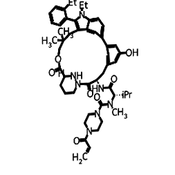 C=CC(=O)N1CCN(C(=O)N(C)[C@H](C(=O)N[C@H]2Cc3cc(O)cc(c3)-c3ccc4c(c3)c(c(-c3ccccc3CC)n4CC)CC(C)(C)COC(=O)[C@@H]3CCCN(N3)C2=O)C(C)C)CC1